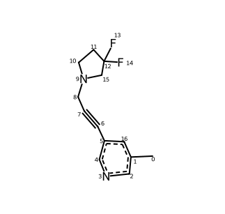 Cc1cncc(C#CCN2CCC(F)(F)C2)c1